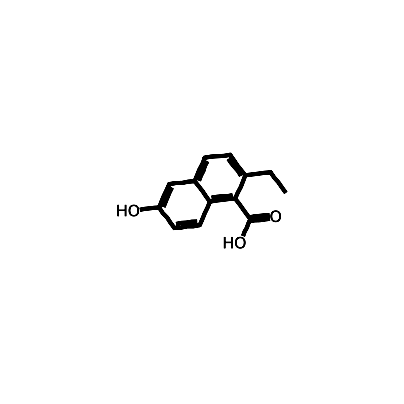 CCc1ccc2cc(O)ccc2c1C(=O)O